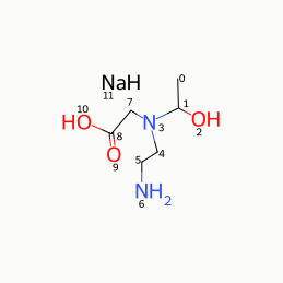 CC(O)N(CCN)CC(=O)O.[NaH]